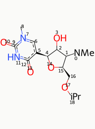 CNC1C(O)[C@H](c2cn(C)c(=O)[nH]c2=O)O[C@@H]1COC(C)C